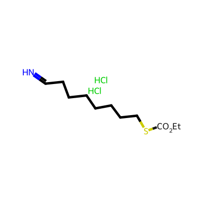 CCOC(=O)SCCCCCCCC=N.Cl.Cl